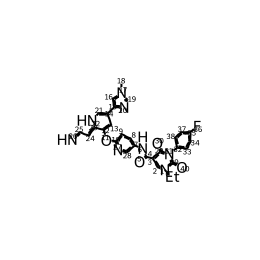 CCn1cc(C(=O)Nc2ccc(OC3=CC(c4cn(C)cn4)=CN/C3=C\C=N)nc2)c(=O)n(-c2ccc(F)cc2)c1=O